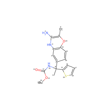 CCC1=C(N)Nc2cc(C(C)(NC(=O)OC(C)(C)C)c3cccs3)ccc2O1